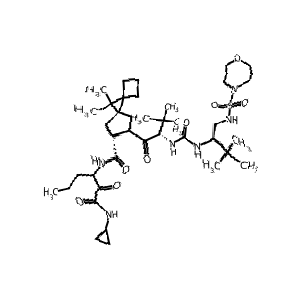 CCCC(NC(=O)[C@@H]1C[C@@]2(CC1C(=O)[C@@H](NC(=O)N[C@@H](CNS(=O)(=O)N1CCOCC1)C(C)(C)C)C(C)(C)C)C(C)(C)C21CCC1)C(=O)C(=O)NC1CC1